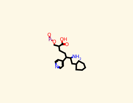 NC(CC1CCCCC1)C(CCC(COP=O)C(=O)O)c1ccncc1